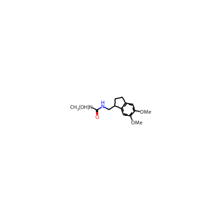 COc1cc2c(cc1OC)C(CNC(=O)N(C)O)CC2